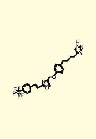 FS(F)(F)(F)(F)c1ccc(C=Cc2nc(COc3ccc(CCCCc4c[nH]nn4)cc3)co2)cc1